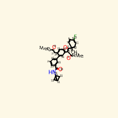 CNC(=O)c1c([C@]2(C)C=CC(F)=CC2)oc2cc(CC(=O)OC)c(-c3cccc(C(=O)NC45CC(C4)C5)c3)cc12